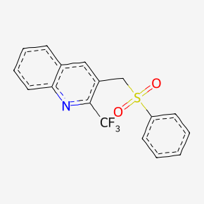 O=S(=O)(Cc1cc2ccccc2nc1C(F)(F)F)c1ccccc1